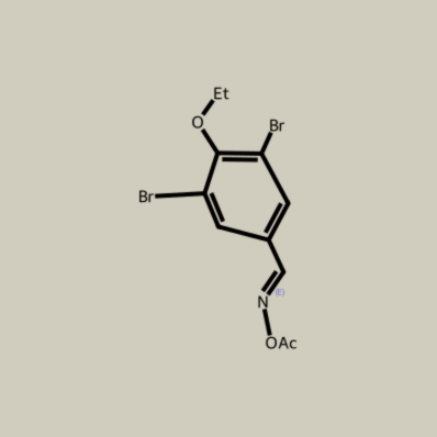 CCOc1c(Br)cc(/C=N/OC(C)=O)cc1Br